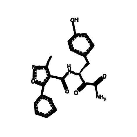 Cc1noc(-c2ccccc2)c1C(=O)N[C@@H](Cc1ccc(O)cc1)C(=O)C(N)=O